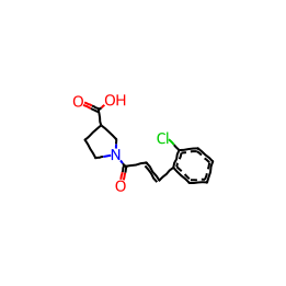 O=C(O)C1CCN(C(=O)/C=C/c2ccccc2Cl)C1